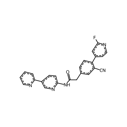 N#Cc1cc(CC(=O)Nc2ccc(-c3ccccn3)cn2)ccc1-c1ccnc(F)c1